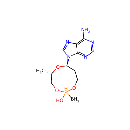 B[PH]1(O)OCC[C@H](n2cnc3c(N)ncnc32)O[C@@H](C)CO1